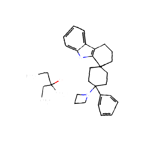 O=C(O)CC(O)(CC(=O)O)C(=O)O.c1ccc(C2(N3CCC3)CCC3(CCCc4c3[nH]c3ccccc43)CC2)cc1